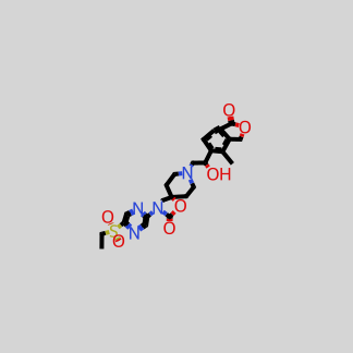 CCS(=O)(=O)c1cnc(N2CC3(CCN(CC(O)c4ccc5c(c4C)COC5=O)CC3)OC2=O)cn1